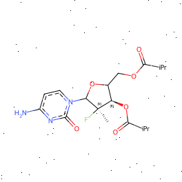 CC(C)C(=O)OCC1OC(n2ccc(N)nc2=O)[C@](C)(F)[C@@H]1OC(=O)C(C)C